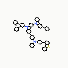 c1ccc(-c2ccc3c(c2)c2ccccc2n3-c2ccc3c(c2)c2cc(-c4ccc(N(c5ccccc5)c5ccc(-c6cccc7sc8ccccc8c67)cc5)cc4)ccc2n3-c2ccc3c4ccccc4c4ccccc4c3c2)cc1